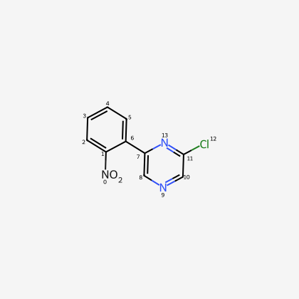 O=[N+]([O-])c1ccccc1-c1cncc(Cl)n1